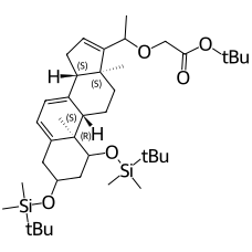 CC(OCC(=O)OC(C)(C)C)C1=CC[C@H]2C3=CC=C4CC(O[Si](C)(C)C(C)(C)C)CC(O[Si](C)(C)C(C)(C)C)[C@]4(C)[C@H]3CC[C@]12C